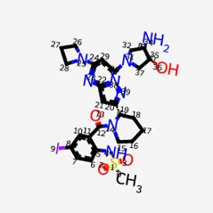 CS(=O)(=O)Nc1ccc(I)cc1C(=O)N1CCCC[C@H]1c1cc2nc(N3CCC3)cc(N3C[C@H](N)[C@@H](O)C3)n2n1